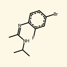 C/C(=N/c1ccc(Br)cc1F)NC(C)C